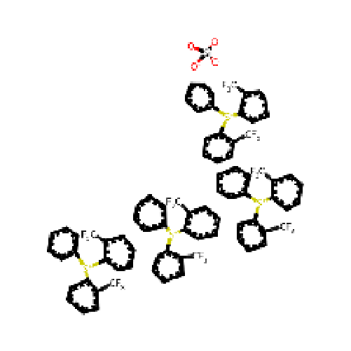 FC(F)(F)c1ccccc1[S+](c1ccccc1)c1ccccc1C(F)(F)F.FC(F)(F)c1ccccc1[S+](c1ccccc1)c1ccccc1C(F)(F)F.FC(F)(F)c1ccccc1[S+](c1ccccc1)c1ccccc1C(F)(F)F.FC(F)(F)c1ccccc1[S+](c1ccccc1)c1ccccc1C(F)(F)F.[O-][Si]([O-])([O-])[O-]